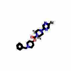 CC(=O)c1cnc(N2C[C@@H](C)N(C(=O)OC3CCN(Cc4ccccc4)CC3)[C@@H](C)C2)cn1